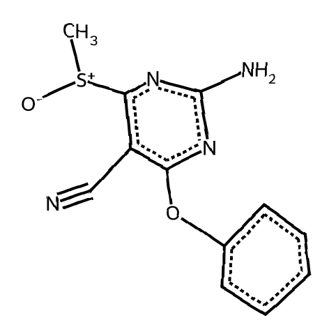 C[S+]([O-])c1nc(N)nc(Oc2ccccc2)c1C#N